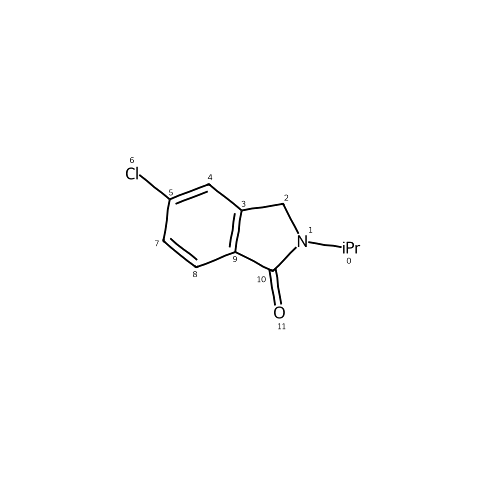 CC(C)N1Cc2cc(Cl)ccc2C1=O